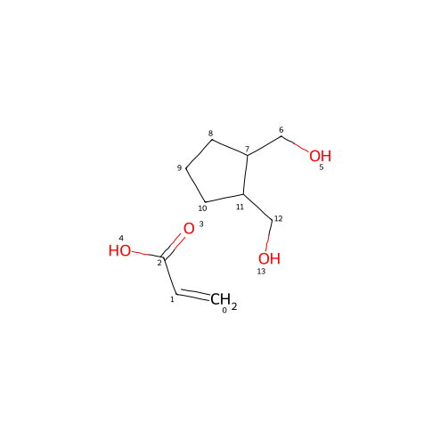 C=CC(=O)O.OCC1CCCC1CO